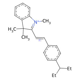 CCC(CC)c1ccc(/C=C/C2=[N+](C)c3ccccc3C2(C)C)cc1